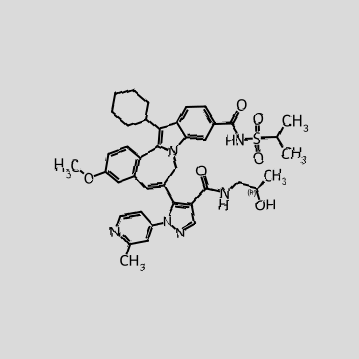 COc1ccc2c(c1)C=C(c1c(C(=O)NC[C@@H](C)O)cnn1-c1ccnc(C)c1)Cn1c-2c(C2CCCCC2)c2ccc(C(=O)NS(=O)(=O)C(C)C)cc21